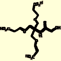 O=C(O)CCOCC(COCCC(=O)O)(COCCC(=O)O)NC(=O)CO